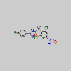 O=CNc1cc(Cl)c(C2(c3nc(-c4ccc(F)cc4)no3)CC2)c(Cl)c1